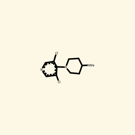 CNC1CCN(c2c(Cl)cncc2Cl)CC1